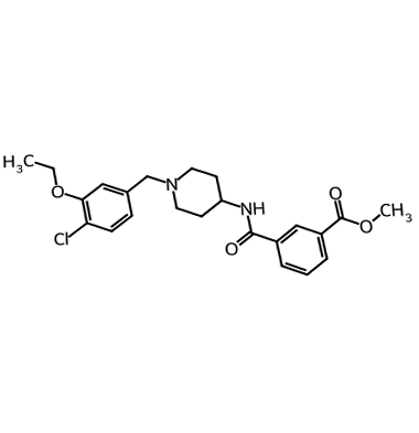 CCOc1cc(CN2CCC(NC(=O)c3cccc(C(=O)OC)c3)CC2)ccc1Cl